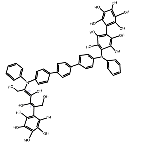 OC/C(=C(O)\C(O)=C(/CO)c1c(O)c(O)c(O)c(O)c1O)N(c1ccccc1)c1ccc(-c2ccc(-c3ccc(N(c4ccccc4)c4c(O)c(O)c(-c5c(O)c(O)c(O)c(O)c5O)c(O)c4O)cc3)cc2)cc1